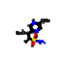 COc1cnc([C@H](OC)[C@H](C)S(N)(=O)=O)cn1